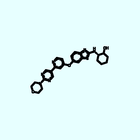 OC1CCCC[C@H]1Nc1nc2ccc(Oc3ccnc(-c4cnc(N5CCOCC5)nc4)c3)cc2s1